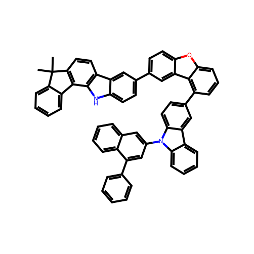 CC1(C)c2ccccc2-c2c1ccc1c2[nH]c2ccc(-c3ccc4oc5cccc(-c6ccc7c(c6)c6ccccc6n7-c6cc(-c7ccccc7)c7ccccc7c6)c5c4c3)cc21